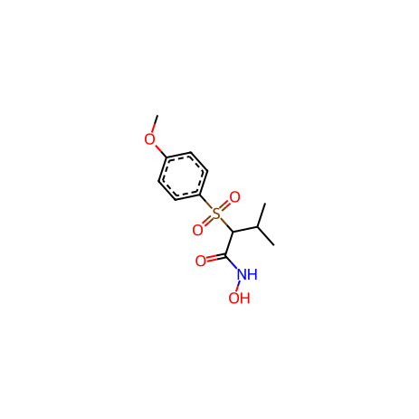 COc1ccc(S(=O)(=O)C(C(=O)NO)C(C)C)cc1